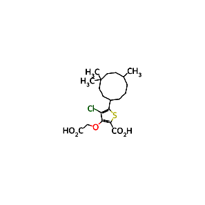 CC1CCCC(c2sc(C(=O)O)c(OCC(=O)O)c2Cl)CCC(C)(C)CC1